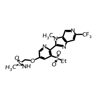 CCS(=O)(=O)c1cc(OCS(C)(=N)=O)cnc1-c1nc2cc(C(F)(F)F)ncc2n1C